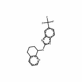 FC(F)(F)c1ccc2sc(SC3CCCc4cccnc43)nc2c1